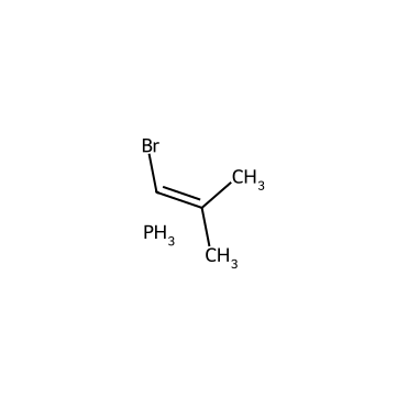 CC(C)=CBr.P